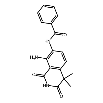 CC1(C)C(=O)NC(=O)c2c1ccc(NC(=O)c1ccccc1)c2N